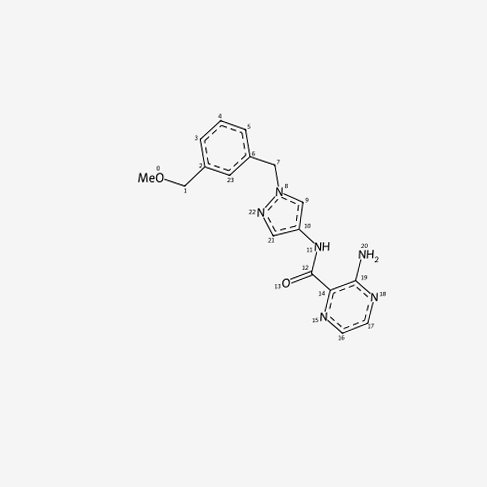 COCc1cccc(Cn2cc(NC(=O)c3nccnc3N)cn2)c1